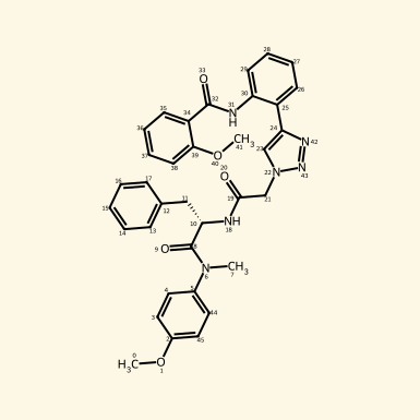 COc1ccc(N(C)C(=O)[C@H](Cc2ccccc2)NC(=O)Cn2cc(-c3ccccc3NC(=O)c3ccccc3OC)nn2)cc1